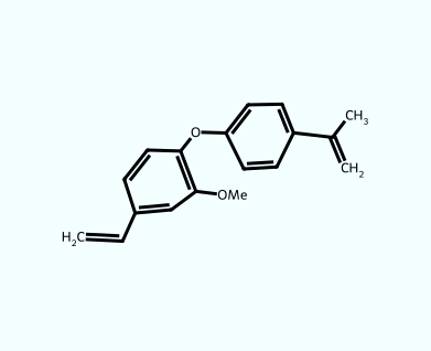 C=Cc1ccc(Oc2ccc(C(=C)C)cc2)c(OC)c1